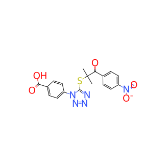 CC(C)(Sc1nnnn1-c1ccc(C(=O)O)cc1)C(=O)c1ccc([N+](=O)[O-])cc1